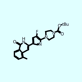 Cc1cccc2c(=O)[nH]c(-c3cnc(N4CCN(C(=O)OC(C)(C)C)CC4)c(F)c3)cc12